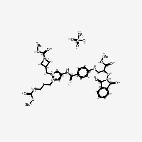 CC(C)(C)OC(=O)NCCCn1cc(NC(=O)c2ccc(OCC(ON3C(=O)c4ccccc4C3=O)C(=O)OC(C)(C)C)cc2)c[n+]1CC1CN(C(=O)OC(C)(C)C)C1.O=S(=O)([O-])C(F)(F)F